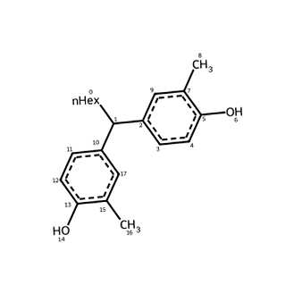 CCCCCCC(c1ccc(O)c(C)c1)c1ccc(O)c(C)c1